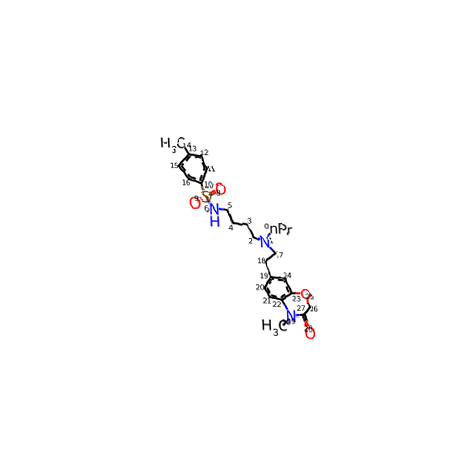 CCCN(CCCCNS(=O)(=O)c1ccc(C)cc1)CCc1ccc2c(c1)OCC(=O)N2C